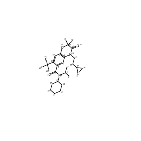 CC(C)N(C(=O)c1cc2c(cc1C(F)(F)F)OC(C)(C)C(=O)N2CCC1CO1)C1CCCCC1